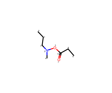 CCCN(C)OC(=O)CC